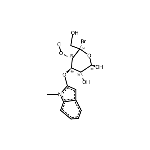 Cn1c(O[C@@H]2[C@@H](O)[C@H](O)O[C@](Br)(CO)[C@H]2OCl)cc2ccccc21